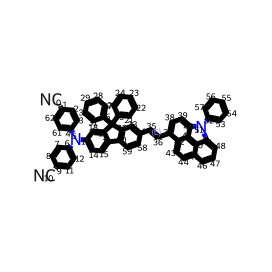 N#Cc1ccc(N(c2ccc(C#N)cc2)c2ccc3c(c2)C(c2ccccc2)(c2ccccc2)c2cc(/C=C/c4ccc5c6c4ccc4cccc(c46)n5-c4ccccc4)ccc2-3)cc1